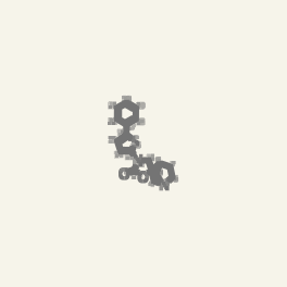 O=C1OC2(CN3CCC2CC3)CN1c1ccc(-c2ccccc2)s1